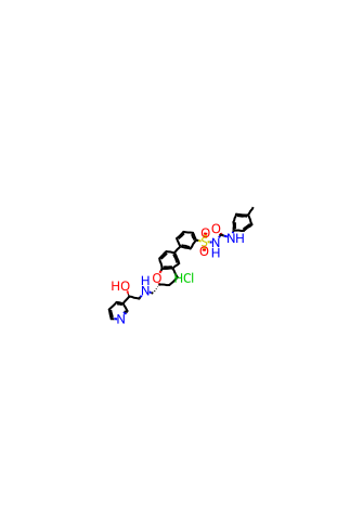 Cc1ccc(NC(=O)NS(=O)(=O)c2cccc(-c3ccc4c(c3)CC[C@H](CNC[C@H](O)c3cccnc3)O4)c2)cc1.Cl